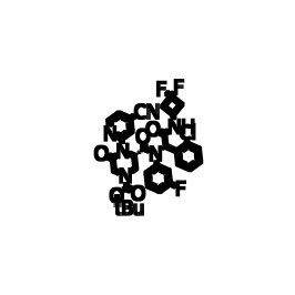 CC(C)(C)OC(=O)N1CC(=O)N(c2cc(C#N)ccn2)[C@H](C(=O)N(c2cccc(F)c2)[C@H](C(=O)NC2CC(F)(F)C2)c2ccccc2Cl)C1